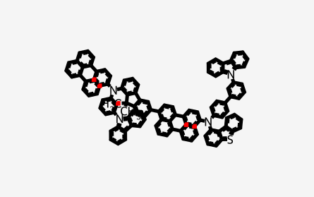 CC1(C)c2ccc(-c3ccc(-c4ccc(N(c5ccc(-c6cccc(-n7c8ccccc8c8ccccc87)c6)cc5)c5cccc6sc7ccccc7c56)cc4)c4c(-c5ccccc5)cccc34)cc2-c2cccc(N(c3ccc(-c4cccc5cccc(-c6ccccc6)c45)cc3)c3cccc(-n4c5ccccc5c5ccccc54)c3)c21